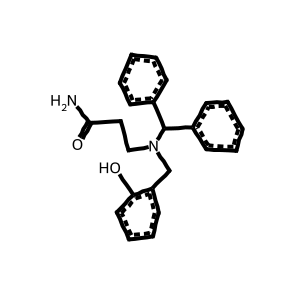 NC(=O)CCN(Cc1ccccc1O)C(c1ccccc1)c1ccccc1